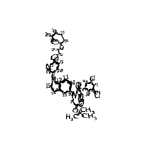 CC(C)(C)OC(=O)CN(c1ccc2c(ccn2-c2ccc(OCCOC3CCCCO3)nn2)c1)S(=O)(=O)c1cc(Cl)cc(Cl)c1